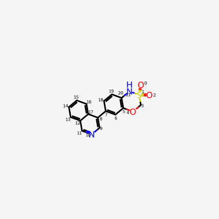 O=S1(=O)COc2cc(-c3cncc4ccccc34)ccc2N1